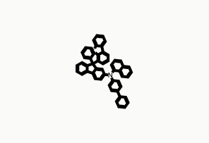 c1ccc(-c2ccc(N(c3ccc4c(c3)C(c3ccccc3)(c3cccc5c3sc3ccccc35)c3ccccc3-4)c3cccc4ccccc34)cc2)cc1